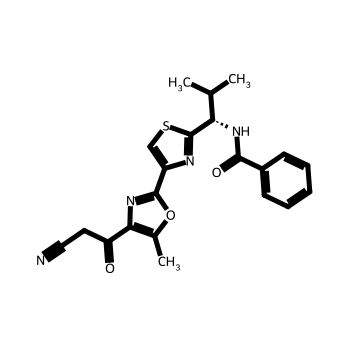 Cc1oc(-c2csc([C@@H](NC(=O)c3ccccc3)C(C)C)n2)nc1C(=O)CC#N